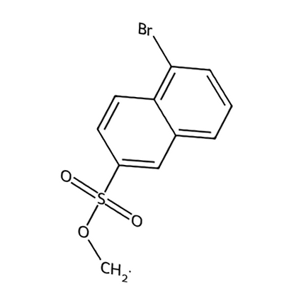 [CH2]OS(=O)(=O)c1ccc2c(Br)cccc2c1